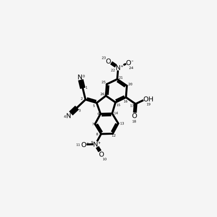 N#CC(C#N)=C1c2cc([N+](=O)[O-])ccc2-c2c(C(=O)O)cc([N+](=O)[O-])cc21